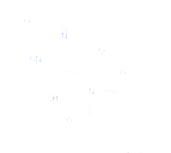 Cc1[nH]c(=O)[nH]c(=O)c1N1C(=O)c2ccccc2C1=O